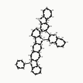 c1ccc(-n2c3ccccc3c3cc4cc5c(cc4cc32)c2ccccc2n5-c2nc3ccccc3nc2-c2ccc3oc4ccccc4c3c2)cc1